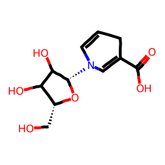 O=C(O)C1=CN([C@@H]2O[C@H](CO)C(O)C2O)C=CC1